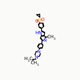 Cc1nc(-c2ccc(N3CCN(CC(C)C)CC3)cc2)cc2[nH]c(-c3ccc(S(=O)(=O)C4CC4)cc3)cc12